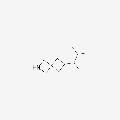 CC(C)C(C)C1CC2(CNC2)C1